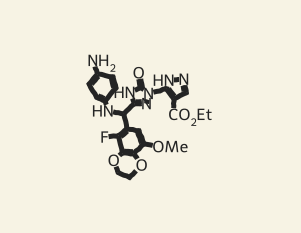 CCOC(=O)c1cn[nH]c1-n1nc(C(Nc2ccc(N)cc2)c2cc(OC)c3c(c2F)OCCO3)[nH]c1=O